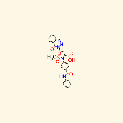 CS(=O)(=O)N(c1ccc(C(=O)Nc2ccccc2)cc1)C(CCn1nnc2ccccc2c1=O)C(=O)O